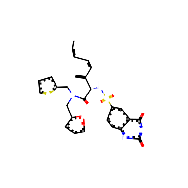 C=C(/C=C\C=C/C)[C@@H](NS(=O)(=O)c1ccc2[nH]c(=O)[nH]c(=O)c2c1)C(=O)N(Cc1ccco1)Cc1cccs1